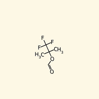 CC(C)(OC=O)C(F)(F)F